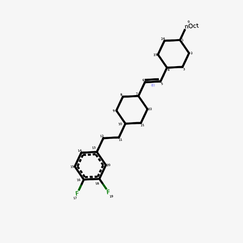 CCCCCCCCC1CCC(/C=C/C2CCC(CCc3ccc(F)c(F)c3)CC2)CC1